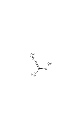 CC(=O)[O-].[Cl-].[Cu+].[Cu+]